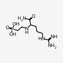 N=C(N)NCCCC(NCCP(=O)(O)O)C(N)=O